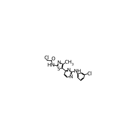 Cc1nc(NC(=O)CCl)sc1-c1ccnc(Nc2cccc(Cl)c2)n1